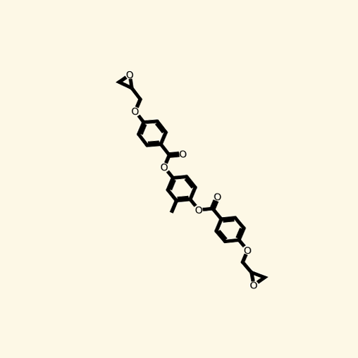 Cc1cc(OC(=O)c2ccc(OCC3CO3)cc2)ccc1OC(=O)c1ccc(OCC2CO2)cc1